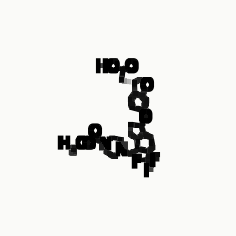 COC(=O)N1CCN(Cc2c(C(F)(F)F)ccc3c2CC[C@H]3Oc2ccc3c(c2)OC[C@H]3CC(=O)O)CC1